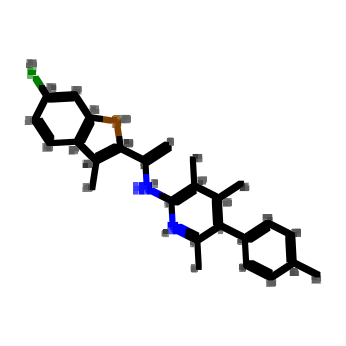 C=C(Nc1nc(C)c(-c2ccc(C)cc2)c(C)c1C)c1sc2cc(F)ccc2c1C